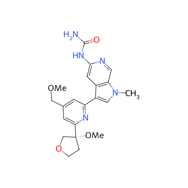 COCc1cc(-c2cn(C)c3cnc(NC(N)=O)cc23)nc([C@@]2(OC)CCOC2)c1